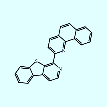 c1ccc2c(c1)ccc1ccc(-c3nccc4c3sc3ccccc34)nc12